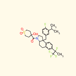 CC(C)c1cc(CC23CCN(C(=O)C4(O)CCS(=O)(=O)CC4)C2CCc2cc(C(C)(F)C(F)(F)F)ccc23)ccc1F